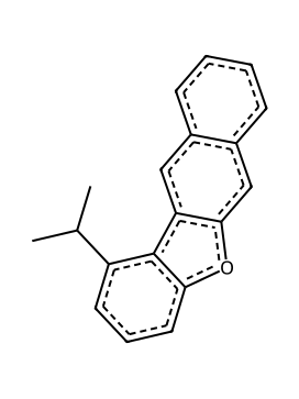 CC(C)c1cccc2oc3cc4ccccc4cc3c12